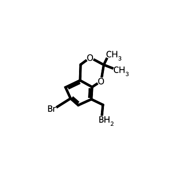 BCc1cc(Br)cc2c1OC(C)(C)OC2